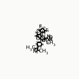 CC1=NCC(C)=C1c1ccc(NC(=O)[C@@H](NC(=O)c2nonc2C)C2c3cc(F)cc(F)c3OCC23CC3)cc1